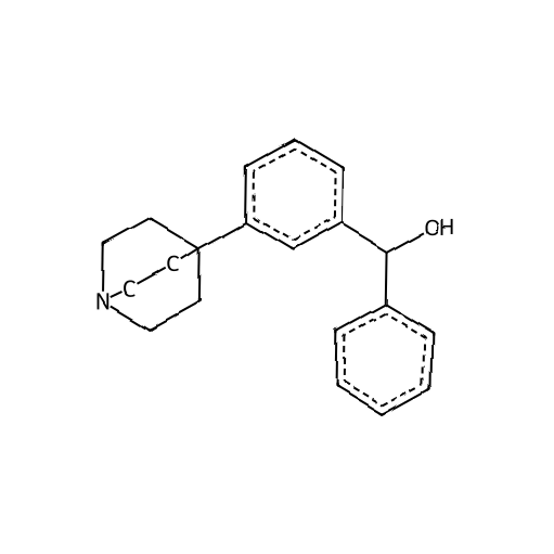 OC(c1ccccc1)c1cccc(C23CCN(CC2)CC3)c1